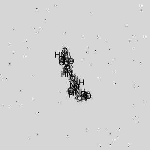 CN(c1cccc(CNc2nc(Nc3ccc(NCc4cc5c(cc4F)C(=O)N(C4CCC(=O)NC4=O)C5=O)cc3)ncc2C(F)(F)F)c1)S(C)(=O)=O